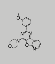 COc1cccc(-c2nc(N3CCOCC3)c3oc4ncccc4c3n2)c1